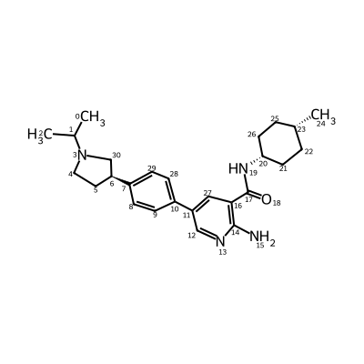 CC(C)N1CC[C@H](c2ccc(-c3cnc(N)c(C(=O)N[C@H]4CC[C@@H](C)CC4)c3)cc2)C1